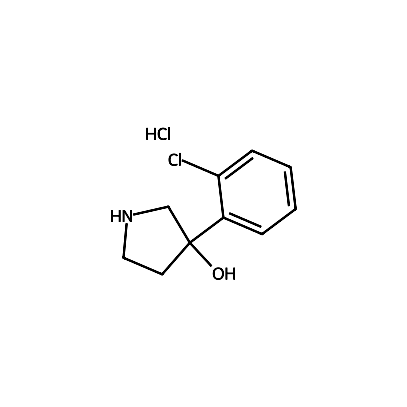 Cl.OC1(c2ccccc2Cl)CCNC1